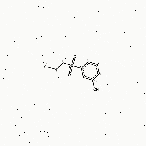 O=S(=O)(CCCl)c1cccc(O)c1